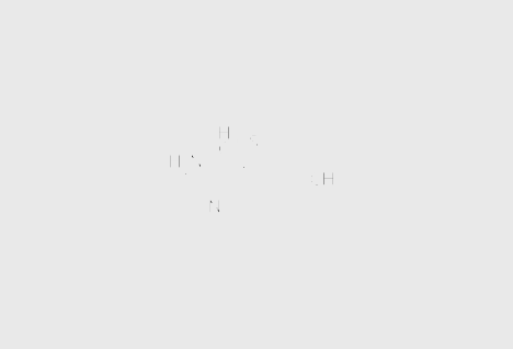 CC1=CSC2(C)C(N)=NC=CC12